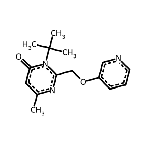 Cc1cc(=O)n(C(C)(C)C)c(COc2cccnc2)n1